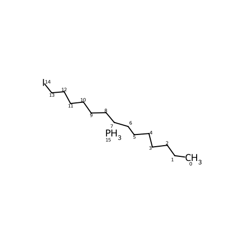 CCCCCCCCCCCCCCI.P